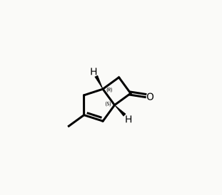 CC1=C[C@H]2C(=O)C[C@H]2C1